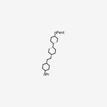 CCCCC[C@H]1CC[C@H]([C@H]2CC[C@H](CCC3CCC(CCC)CC3)CC2)CC1